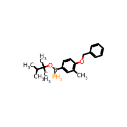 Cc1cc(B(P)OC(C)(C)C(C)C)ccc1OCc1ccccc1